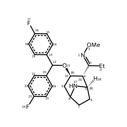 CCC(=NOC)[C@@H]1[C@H]2CCC(C[C@H]1OC(c1ccc(F)cc1)c1ccc(F)cc1)N2